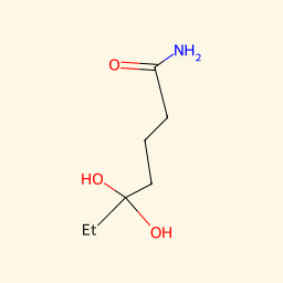 CCC(O)(O)CCCC(N)=O